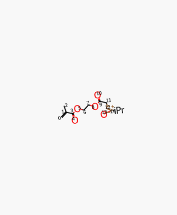 C=C(C)C(=O)OCCOC(=O)C[S+]([O-])C(C)C